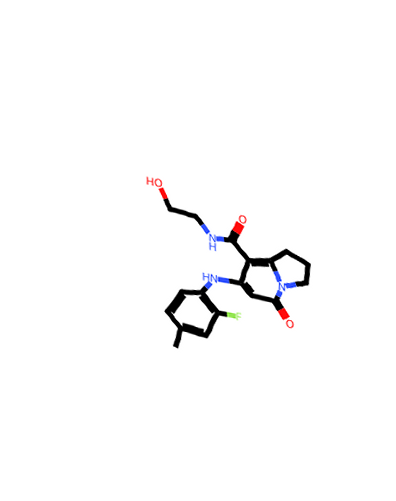 Cc1ccc(Nc2cc(=O)n3c(c2C(=O)NCCO)CCC3)c(F)c1